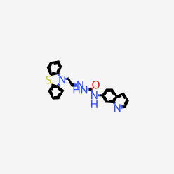 O=C(NN=CCN1c2ccccc2Sc2ccccc21)Nc1ccc2cccnc2c1